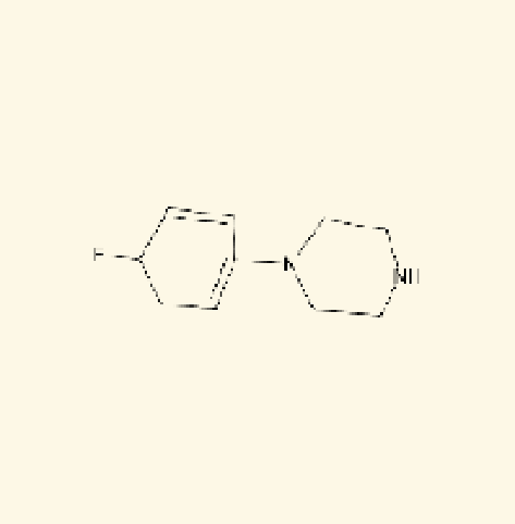 FC1C=CC(N2CCNCC2)=CC1